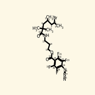 CC(Br)CC(C)CC(C)(C)C(=O)NCCCOC(=O)c1c(F)c(F)c(N=[N+]=[N-])c(F)c1F